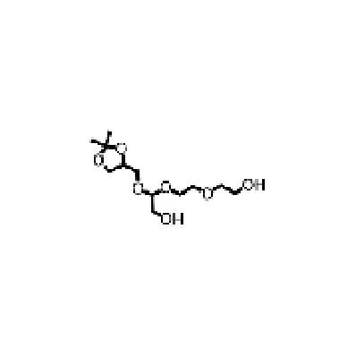 CC1(C)OCC(COC(CO)OCCOCCO)O1